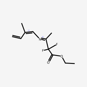 C=C/C(C)=C\N=C(/C)C(F)(F)C(=O)OCC